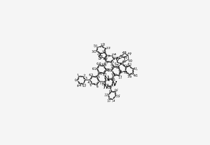 c1ccc(-c2ccc(-c3nc(-c4ccccc4)nc(-c4cc(-c5ccc6c(c5)sc5ccccc56)c5c(c4)-c4ccccc4C54C5CC6CC(C5)CC4C6)n3)c(-c3ccccc3)c2)cc1